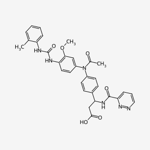 COc1cc(N(C(C)=O)c2ccc(C(CC(=O)O)NC(=O)c3cccnn3)cc2)ccc1NC(=O)Nc1ccccc1C